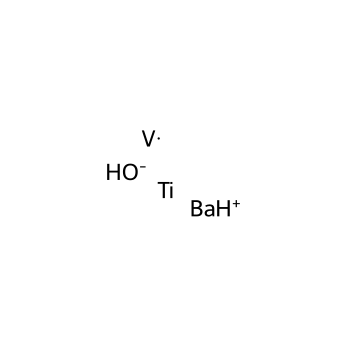 [BaH+].[OH-].[Ti].[V]